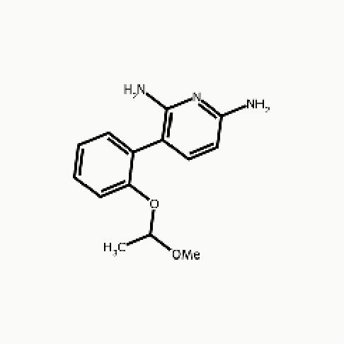 COC(C)Oc1ccccc1-c1ccc(N)nc1N